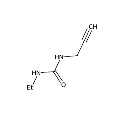 C#CCNC(=O)NCC